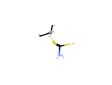 NC(=S)[S-].[CH3][Bi+][CH3]